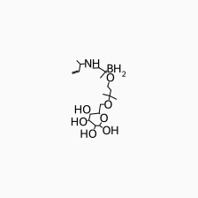 BC(C)(CCNC(C)C=C)OCCC(C)(C)OCC1OC(O)C(O)C(O)C1O